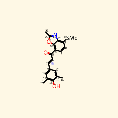 CSc1ccc(C(=O)/C=C/c2cc(C)c(O)c(C)c2)c2oc(C)nc12